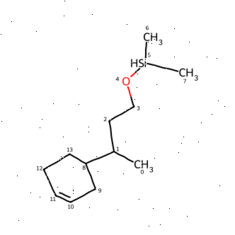 CC(CCO[SiH](C)C)C1CC=CCC1